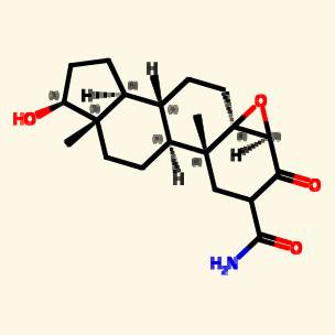 C[C@]12CC[C@H]3[C@@H](CC[C@]45O[C@H]4C(=O)C(C(N)=O)C[C@]35C)[C@@H]1CC[C@@H]2O